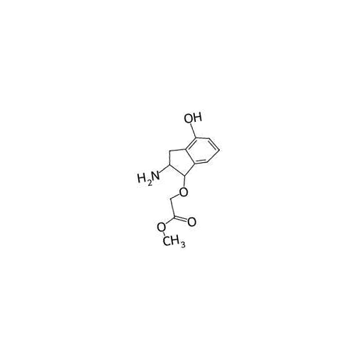 COC(=O)COC1c2cccc(O)c2CC1N